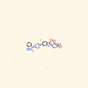 Nc1ccccc1CN1CCN(c2cc3c(cc2F)C(=O)N(C2CCC(=O)NC2=O)C3)CC1